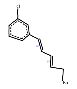 CC(C)(C)C/C=C/C=C/c1cccc(Cl)c1